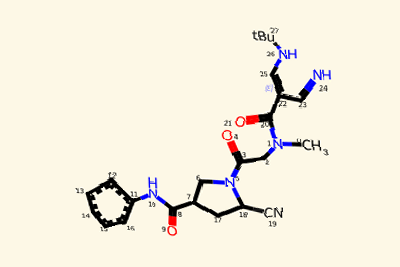 CN(CC(=O)N1CC(C(=O)Nc2ccccc2)CC1C#N)C(=O)/C(C=N)=C/NC(C)(C)C